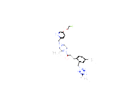 Cc1nnn(Cc2cc(C(F)(F)F)ccc2CCC(=O)N2CCN(Cc3ccc(OCCF)cn3)C[C@H]2C)n1